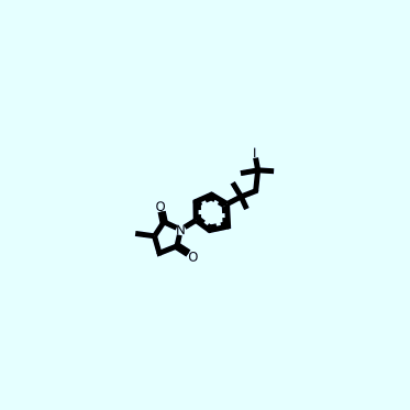 CC1CC(=O)N(c2ccc(C(C)(C)CC(C)(C)I)cc2)C1=O